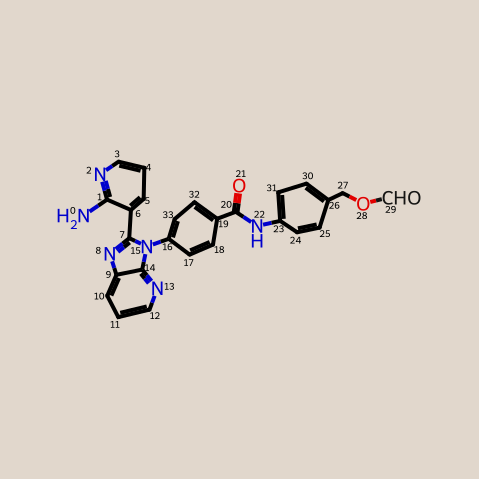 Nc1ncccc1-c1nc2cccnc2n1-c1ccc(C(=O)Nc2ccc(COC=O)cc2)cc1